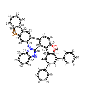 c1ccc(-c2cc(-c3ccccc3)c3oc4cccc(-c5nc6ccccc6n5-c5ccc6c(c5)sc5ccccc56)c4c3c2)cc1